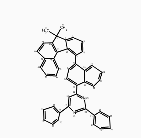 CC1(C)c2cccc(-c3ccc(-c4cc(-c5ccccc5)nc(-c5ccccc5)n4)c4ccccc34)c2-c2c1ccc1ccccc21